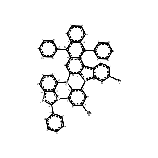 CC(C)c1ccc2c3c4c(-c5ccccc5)c5ccccc5c(-c5ccccc5)c4cc4c3n(c2c1)-c1cc(C(C)(C)C)cc2c1B4c1cccc3nc(-c4ccccc4)n-2c13